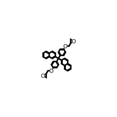 c1ccc2cc(C(c3ccc(OCC4CO4)cc3)(c3ccc(OCC4CO4)cc3)c3ccc4ccccc4c3)ccc2c1